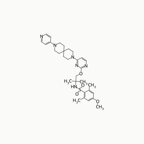 COc1cc(C)c(S(=O)(=O)NC(C)(C)COc2nccc(N3CCC4(CCN(c5ccncc5)CC4)CC3)n2)c(C)c1